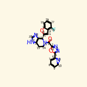 O=C(c1nnc(-c2ccccn2)o1)N1CCc2[nH]cnc2[C@H]1c1cc2c(F)cccc2o1